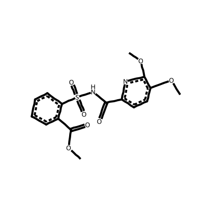 COC(=O)c1ccccc1S(=O)(=O)NC(=O)c1ccc(OC)c(OC)n1